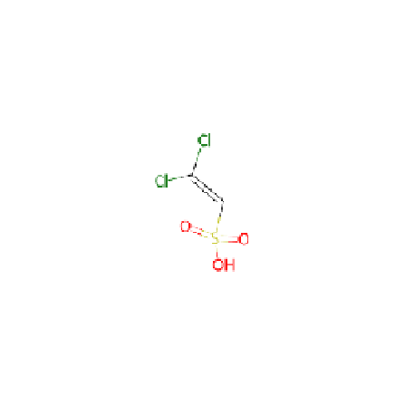 O=S(=O)(O)C=C(Cl)Cl